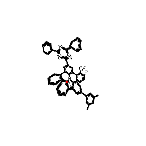 Cc1cc(C)cc(-c2ccc3c(c2)c2ccccc2n3-c2c(-c3ccccc3C(F)(F)F)cc(-c3nc(-c4ccccc4)nc(-c4ccccc4)n3)cc2-c2ccccc2C(F)(F)F)c1